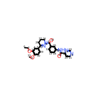 CCOc1cc(C2=NN(C(=O)c3cccc(NC(=O)c4ccncn4)c3)CCC2)ccc1OC